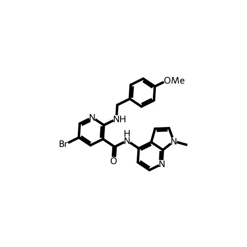 COc1ccc(CNc2ncc(Br)cc2C(=O)Nc2ccnc3c2ccn3C)cc1